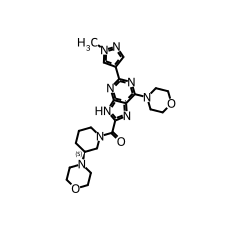 Cn1cc(-c2nc(N3CCOCC3)c3nc(C(=O)N4CCC[C@H](N5CCOCC5)C4)[nH]c3n2)cn1